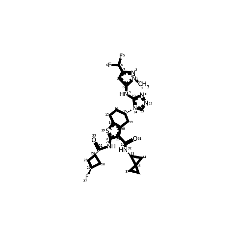 Cn1nc(C(F)F)cc1Nc1nncn1[C@H]1CCc2sc(NC(=O)[C@H]3C[C@H](F)C3)c(C(=O)N[C@@H]3CC34CC4)c2C1